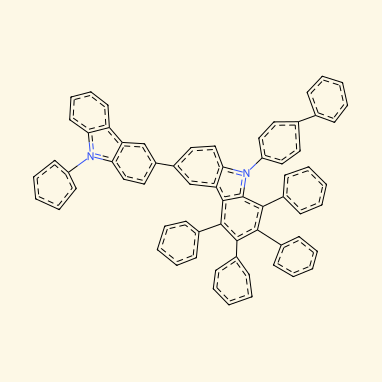 c1ccc(-c2ccc(-n3c4ccc(-c5ccc6c(c5)c5ccccc5n6-c5ccccc5)cc4c4c(-c5ccccc5)c(-c5ccccc5)c(-c5ccccc5)c(-c5ccccc5)c43)cc2)cc1